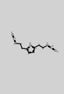 O=C=NCCc1ccc(CCN=C=O)o1